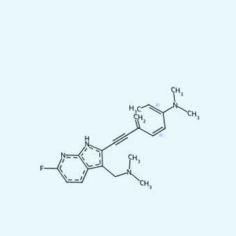 C=C(C#Cc1[nH]c2nc(F)ccc2c1CN(C)C)/C=C\C(=C/C)N(C)C